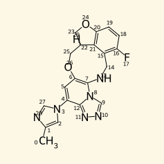 Cc1cn(-c2cc3c(n4cnnc24)NCc2c(F)ccc4c2[C@H](CO4)CO3)cn1